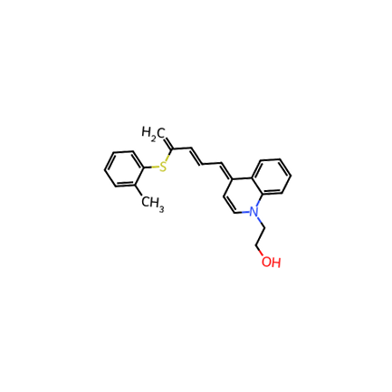 C=C(C=CC=C1C=CN(CCO)c2ccccc21)Sc1ccccc1C